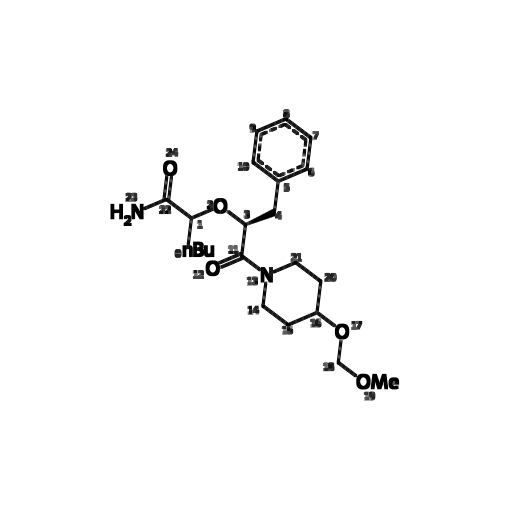 CCCCC(O[C@@H](Cc1ccccc1)C(=O)N1CCC(OCOC)CC1)C(N)=O